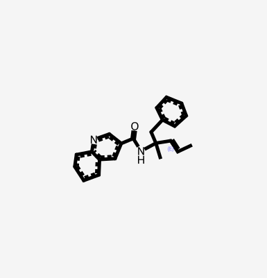 C/C=C/C(C)(Cc1ccccc1)NC(=O)c1cnc2ccccc2c1